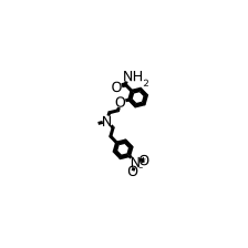 CN(CCOc1ccccc1C(N)=O)CCc1ccc([N+](=O)[O-])cc1